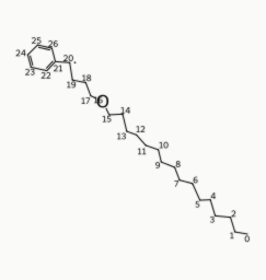 CCCCCCCCCCCCCCCCOCCC[CH]c1ccccc1